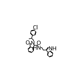 CC(CN1C(=O)c2ccccc2C1C(=O)NCCc1c[nH]c2ccccc12)c1ccc(Cl)cc1